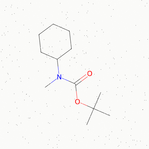 CN(C(=O)OC(C)(C)C)C1CCCCC1